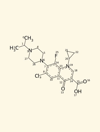 CC(C)N1CCN(c2c(Cl)cc3c(=O)c(C(=O)O)cn(C4CC4)c3c2F)CC1